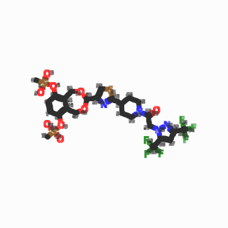 CS(=O)(=O)Oc1ccc(OS(C)(=O)=O)c2c1COC(c1csc(C3CCN(C(=O)Cn4nc(C(F)(F)F)cc4C(F)(F)F)CC3)n1)OC2